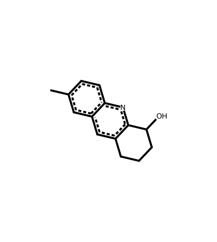 Cc1ccc2nc3c(cc2c1)CCCC3O